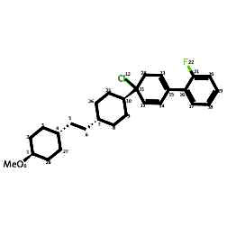 CO[C@H]1CC[C@H](CC[C@H]2CC[C@H](C3(Cl)C=CC(c4ccccc4F)=CC3)CC2)CC1